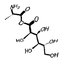 C[C@H](N)C(=O)OC(=O)[C@H](O)[C@@H](O)[C@H](O)[C@H](O)CO